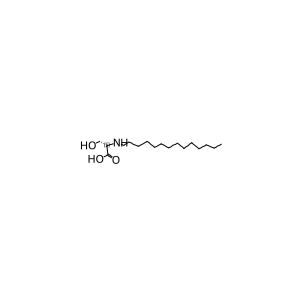 CCCCCCCCCCCCCCN[C@@H](CO)C(=O)O